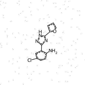 Nc1ccc(Cl)cc1-c1n[nH]c(-c2ccco2)n1